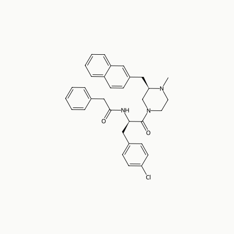 CN1CCN(C(=O)[C@@H](Cc2ccc(Cl)cc2)NC(=O)Cc2ccccc2)C[C@H]1Cc1ccc2ccccc2c1